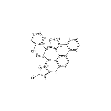 CCc1nn(Cc2ccc(-c3ccccc3-c3nnn[nH]3)cc2)c(=NC(=O)Cc2ccccc2Cl)s1